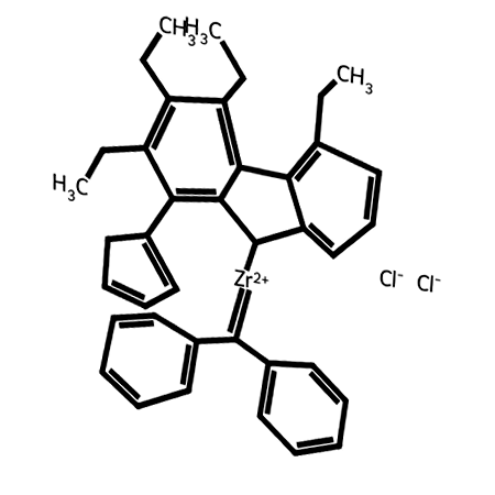 CCc1cccc2c1-c1c(CC)c(CC)c(CC)c(C3=CC=CC3)c1[CH]2[Zr+2]=[C](c1ccccc1)c1ccccc1.[Cl-].[Cl-]